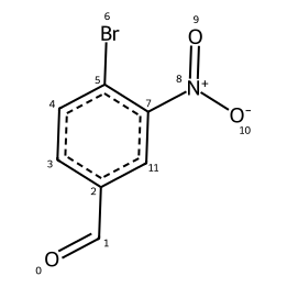 O=Cc1ccc(Br)c([N+](=O)[O-])c1